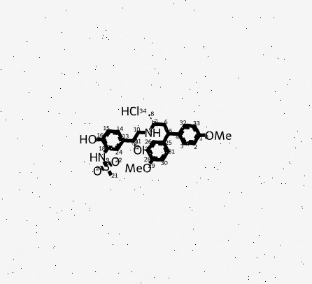 COc1ccc(C(C[C@@H](C)NC[C@H](O)c2ccc(O)c(NS(C)(=O)=O)c2)c2ccc(OC)cc2)cc1.Cl